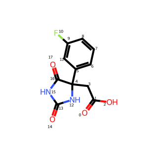 O=C(O)CC1(c2cccc(F)c2)NC(=O)NC1=O